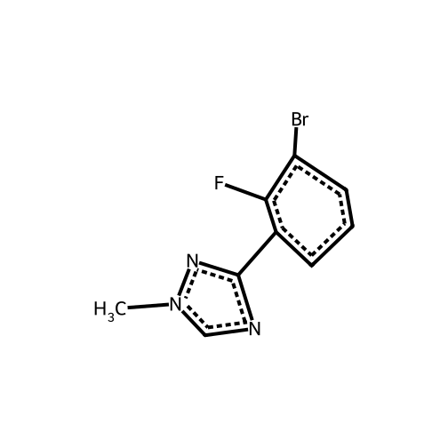 Cn1cnc(-c2cccc(Br)c2F)n1